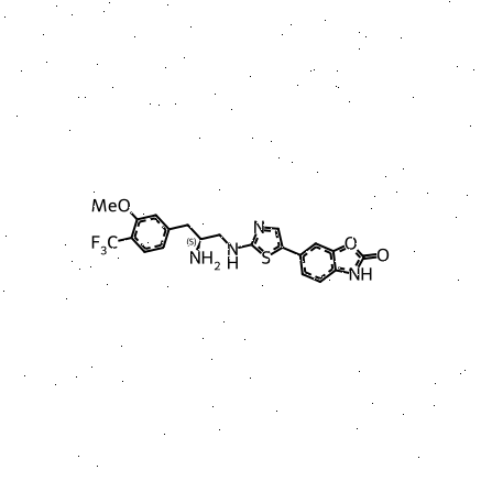 COc1cc(C[C@H](N)CNc2ncc(-c3ccc4[nH]c(=O)oc4c3)s2)ccc1C(F)(F)F